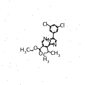 CCOC(=O)c1cnn2c(-c3cc(Cl)cc(Cl)c3)cnc2c1C(C)C